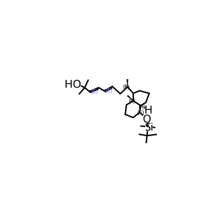 C[C@H](C/C=C/C=C/C(C)(C)O)C1CCC[C@H]2[C@@H](O[Si](C)(C)C(C)(C)C)CCC[C@]12C